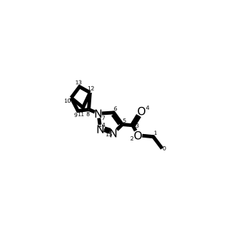 CCOC(=O)c1cn(C2CC3CC2C3)nn1